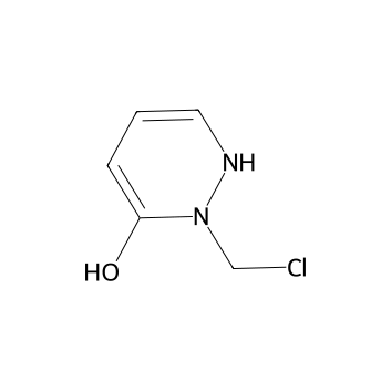 OC1=CC=CNN1CCl